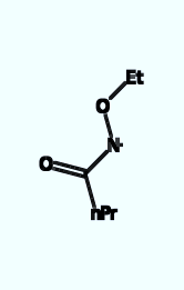 CCCC(=O)[N]OCC